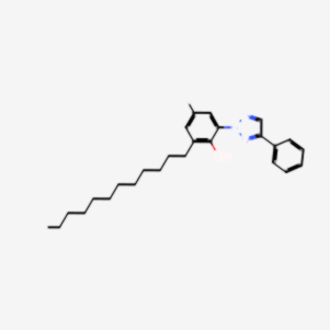 CCCCCCCCCCCCc1cc(C)cc(-n2ncc(-c3ccccc3)n2)c1O